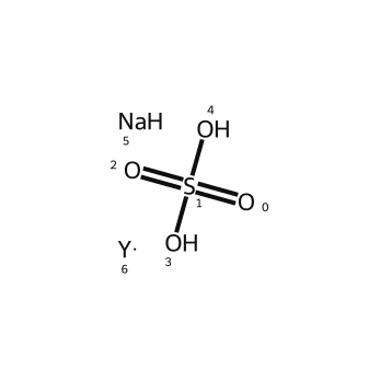 O=S(=O)(O)O.[NaH].[Y]